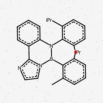 Cc1cccc(C)c1B1N(c2c(C(C)C)cccc2C(C)C)c2ccccc2-c2nccn21